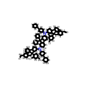 C=Cc1ccc(CC2(c3ccc(C)cc3C)c3ccccc3-c3ccc(N(c4ccc(-c5ccccc5)cc4)c4ccc5c(c4)C(c4ccccc4)(c4ccccc4)c4cc(N(c6ccc(-c7ccccc7)cc6)c6ccc7c(c6)C(Cc6ccc(C=C)cc6)(c6ccc(C)cc6C)c6ccccc6-7)ccc4-5)cc32)cc1